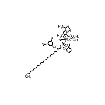 CCCCCCCCCCCCCCCCCCC[C@@H](COP(=O)(OC[C@](C#N)(C[C@@H](OC(C)(C)O)c1ccc2c(N)ncnn12)OC)Oc1ccccc1Cl)OCc1cc(F)cc(C#N)c1